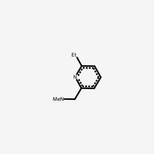 CCc1cccc(CNC)n1